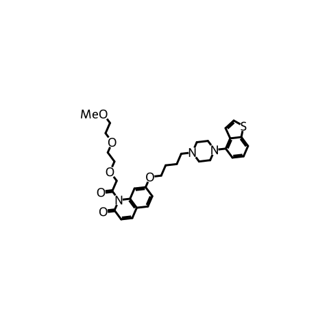 COCCOCCOCC(=O)n1c(=O)ccc2ccc(OCCCCN3CCN(c4cccc5sccc45)CC3)cc21